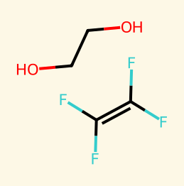 FC(F)=C(F)F.OCCO